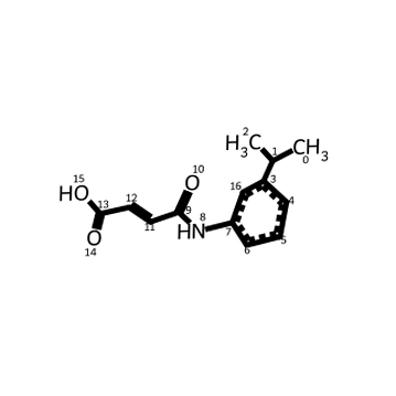 CC(C)c1cccc(NC(=O)C=CC(=O)O)c1